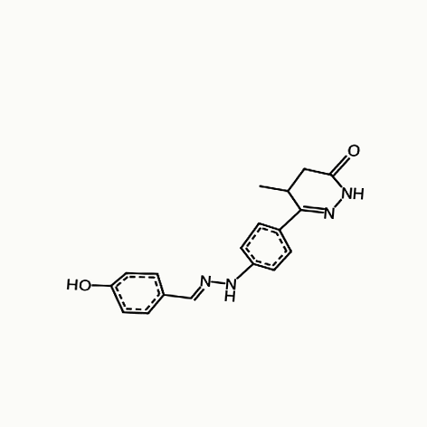 CC1CC(=O)NN=C1c1ccc(N/N=C/c2ccc(O)cc2)cc1